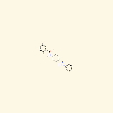 CN(C(=O)c1cc(C(F)(F)F)ccc1Cl)[C@H]1CC[C@H](CNc2ccccc2)CC1